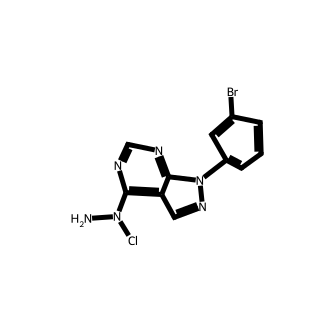 NN(Cl)c1ncnc2c1cnn2-c1cccc(Br)c1